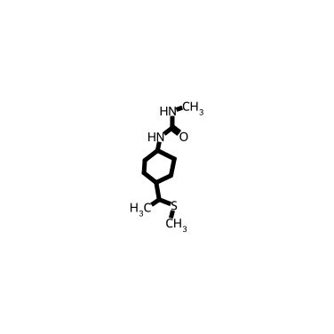 CNC(=O)NC1CCC(C(C)SC)CC1